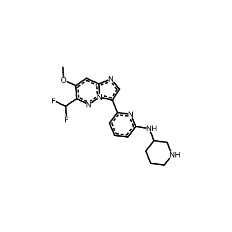 COc1cc2ncc(-c3cccc(NC4CCCNC4)n3)n2nc1C(F)F